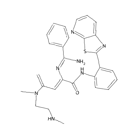 C=C(/C=C(\N=C(/N)c1ccccc1)C(=O)Nc1ccccc1-c1nc2cccnc2s1)N(C)CCNC